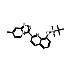 Cc1ccn2c(-c3ccc4cccc(O[Si](C)(C)C(C)(C)C)c4n3)nnc2c1